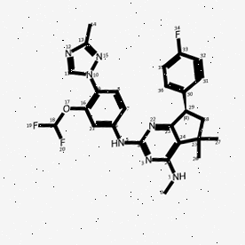 CNc1nc(Nc2ccc(-n3cnc(C)n3)c(OC(F)F)c2)nc2c1C(C)(C)C[C@@H]2c1c#cc(F)cc1